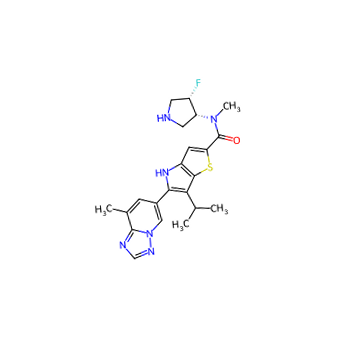 Cc1cc(-c2[nH]c3cc(C(=O)N(C)[C@@H]4CNC[C@@H]4F)sc3c2C(C)C)cn2ncnc12